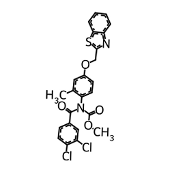 COC(=O)N(C(=O)c1ccc(Cl)c(Cl)c1)c1ccc(OCc2nc3ccccc3s2)cc1C